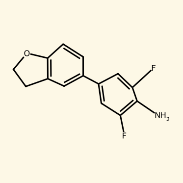 Nc1c(F)cc(-c2ccc3c(c2)CCO3)cc1F